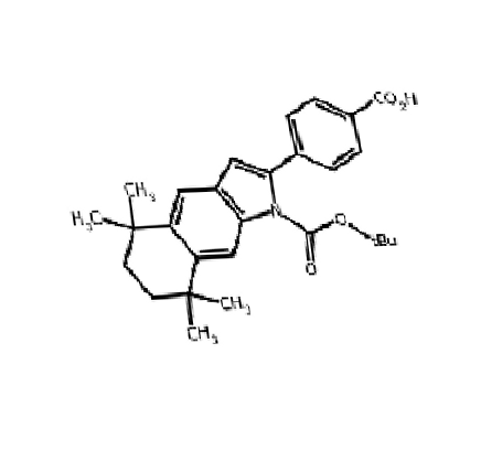 CC(C)(C)OC(=O)n1c(-c2ccc(C(=O)O)cc2)cc2cc3c(cc21)C(C)(C)CCC3(C)C